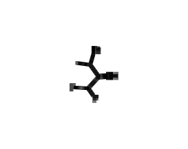 CCC(C)C(=N)C(F)F